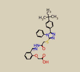 CC(C)(C)c1ccc(-c2nnc(SCC(=O)N/N=C/c3ccccc3OCC(=O)O)n2-c2ccccc2)cc1